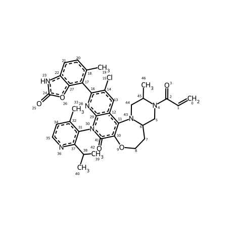 C=CC(=O)N1CC2CCOc3c(c4cc(Cl)c(-c5c(C)ccc6[nH]c(=O)oc56)nc4n(-c4c(C)ccnc4C(C)C)c3=O)N2CC1C